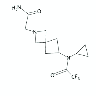 NC(=O)CN1CC2(CC(N(C(=O)C(F)(F)F)C3CC3)C2)C1